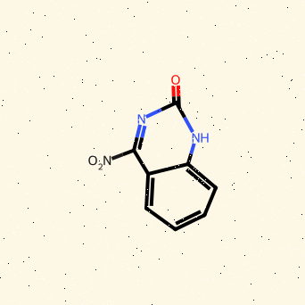 O=c1nc([N+](=O)[O-])c2ccccc2[nH]1